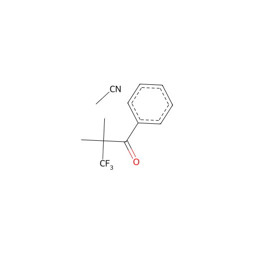 CC#N.CC(C)(C(=O)c1ccccc1)C(F)(F)F